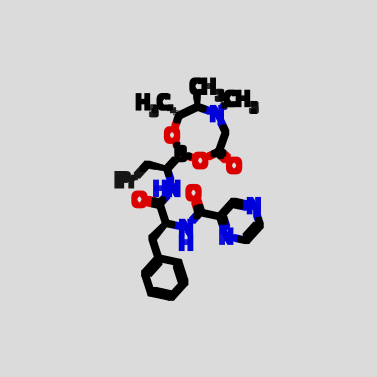 CC(C)C[C@H](NC(=O)[C@H](Cc1ccccc1)NC(=O)c1cnccn1)B1OC(=O)CN(C)[C@H](C)[C@@H](C)O1